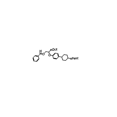 CCCCCCCCC(CONc1ccccc1)Oc1ccc(C2CCC(CCCCC)CC2)cc1